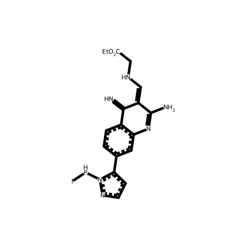 CCOC(=O)CN/C=C1\C(=N)c2ccc(-c3ccnn3PI)cc2N=C1N